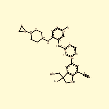 CC1(CO)CNc2c(C#N)cc(-c3ccnc(Nc4cc(Cl)ccc4OC4CCN(C5CC5)CC4)n3)cc21